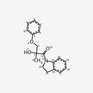 CC(O)(COc1ccccc1)C(=O)N1CCc2ccccc21